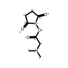 CN(C)CC(=O)ON1C(=O)CCC1=O